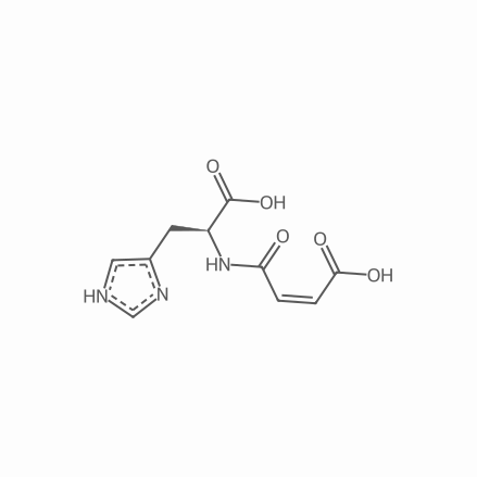 O=C(O)/C=C\C(=O)N[C@@H](Cc1c[nH]cn1)C(=O)O